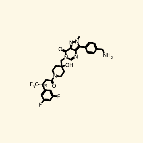 Cn1nc2c(=O)n(CC3(O)CCN(C(=O)C[C@H](c4cc(F)cc(F)c4)C(F)(F)F)CC3)cnc2c1-c1ccc(CN)cc1